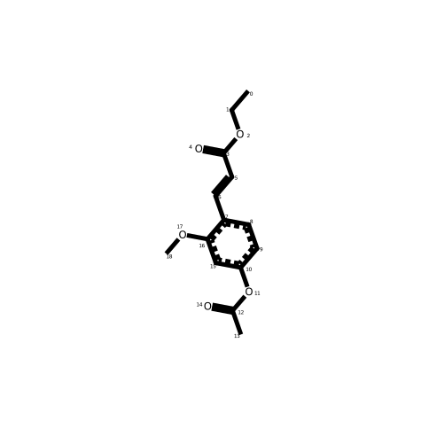 CCOC(=O)C=Cc1ccc(OC(C)=O)cc1OC